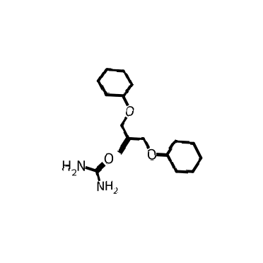 C=C(COC1CCCCC1)COC1CCCCC1.NC(N)=O